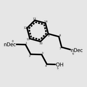 CCCCCCCCCCCCCCO.CCCCCCCCCCCCc1ccccc1